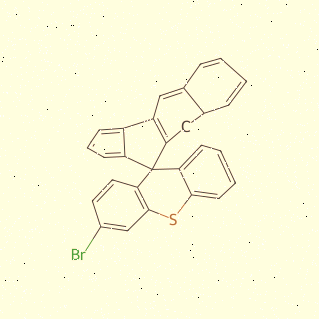 Brc1ccc2c(c1)Sc1ccccc1C21C2=C(C=C3C=CC=CC3C2)c2ccccc21